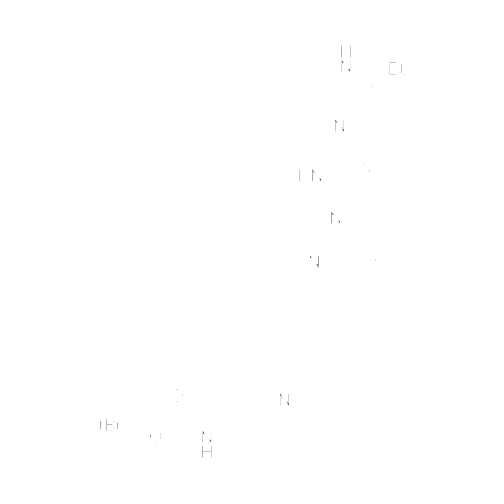 CC[C@@H]1CN(C(=O)Nc2ccn(-c3ccc(CN4CCC(NC(=O)OC(C)(C)C)CC4)cc3)c(=O)n2)CCN1